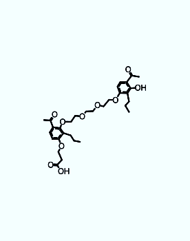 CCCc1c(OCCOCCOCCOc2c(C(C)=O)ccc(OCCC(=O)O)c2CCC)ccc(C(C)=O)c1O